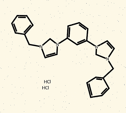 C1=CN(c2cccc(N3C=CN(Cc4ccccc4)C3)c2)CN1Cc1ccccc1.Cl.Cl